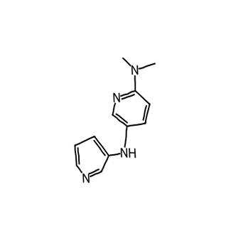 CN(C)c1ccc(Nc2cccnc2)cn1